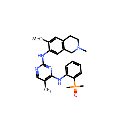 COc1cc2c(cc1Nc1ncc(C(F)(F)F)c(Nc3ccccc3P(C)(C)=O)n1)CN(C)CC2